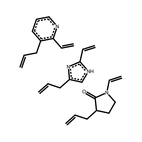 C=CCC1CCN(C=C)C1=O.C=CCc1c[nH]c(C=C)n1.C=CCc1cccnc1C=C